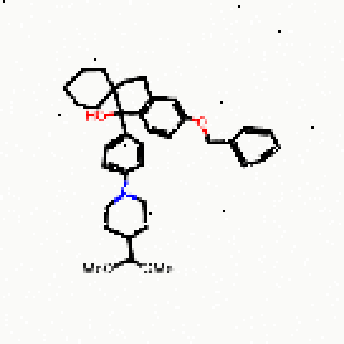 COC(OC)C1CCN(c2ccc(C3(O)c4ccc(OCc5ccccc5)cc4CCC34CCCCC4)cc2)CC1